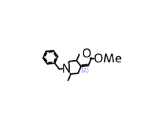 COC(=O)/C=C1/CC(C)N(Cc2ccccc2)CC1C